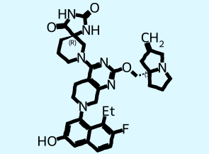 C=C1CN2CCC[C@@]2(COc2nc3c(c(N4CCC[C@]5(C4)NC(=O)NC5=O)n2)CCN(c2cc(O)cc4ccc(F)c(CC)c24)C3)C1